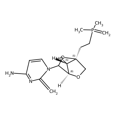 C=C1N=C(N)C=CN1C1O[C@@]2(CCP(=C)(C)C)CO[C@@H]1[C@@H]2O